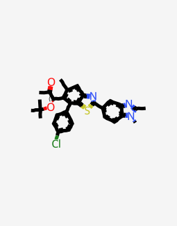 CC(=O)[C@@H](OC(C)(C)C)c1c(C)cc2nc(-c3ccc4c(c3)nc(C)n4C)sc2c1-c1ccc(Cl)cc1